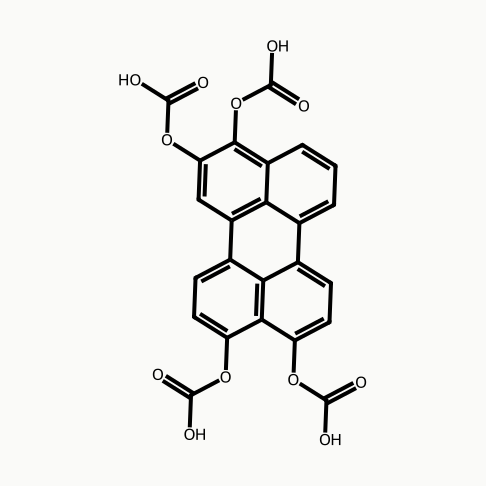 O=C(O)Oc1cc2c3ccc(OC(=O)O)c4c(OC(=O)O)ccc(c5cccc(c1OC(=O)O)c52)c43